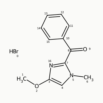 Br.COc1cn(C)c(C(=O)c2ccccc2)n1